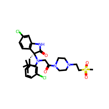 CC(C)(C)CN(CC(=O)N1CCN(CCS(C)(=O)=O)CC1)[C@]1(Cc2cccc(Cl)c2)C(=O)Nc2cc(Cl)ccc21